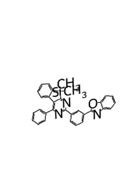 C[Si]1(C)c2ccccc2-c2c(-c3ccccc3)nc(-c3cccc(-c4nc5ccccc5o4)c3)nc21